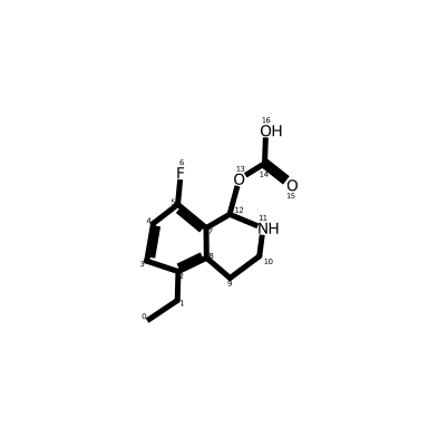 CCc1ccc(F)c2c1CCNC2OC(=O)O